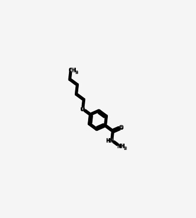 CCCCCOc1ccc(C(=O)NN)cc1